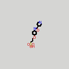 O=S(=O)(O)CCCOc1ccc2nc(-c3ccncc3)oc2c1